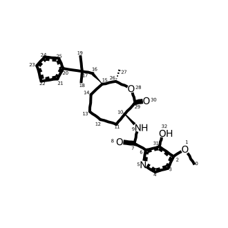 COc1ccnc(C(=O)N[C@H]2CCCC[C@@H](CC(C)(C)c3ccccc3)[C@H](C)OC2=O)c1O